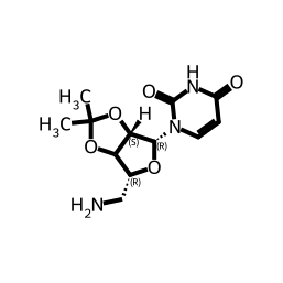 CC1(C)OC2[C@@H](CN)O[C@@H](n3ccc(=O)[nH]c3=O)[C@H]2O1